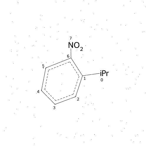 CC(C)c1ccc[c]c1[N+](=O)[O-]